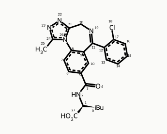 CC[C@H](C)[C@H](NC(=O)c1ccc2c(c1)C(c1ccccc1Cl)=NCc1nnc(C)n1-2)C(=O)O